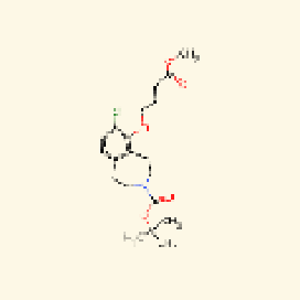 COC(=O)CCCOc1c(Cl)ccc2c1CCN(C(=O)OC(C)(C)C)CC2